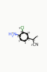 CC(C#N)c1ccc(N)c(Cl)c1